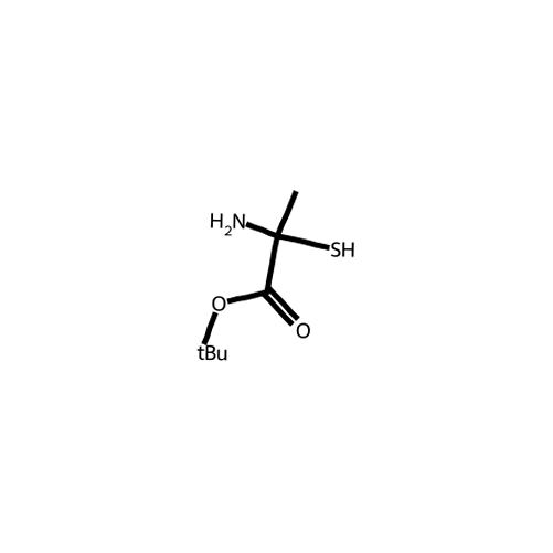 CC(C)(C)OC(=O)C(C)(N)S